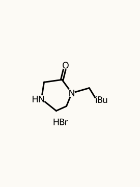 Br.CCC(C)CN1CCNCC1=O